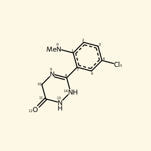 CNc1ccc(Cl)cc1C1=NCC(=O)NN1